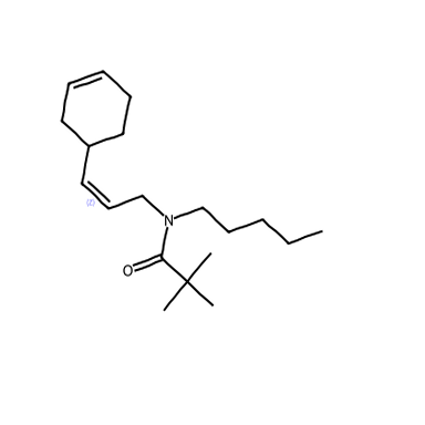 CCCCCN(C/C=C\C1CC=CCC1)C(=O)C(C)(C)C